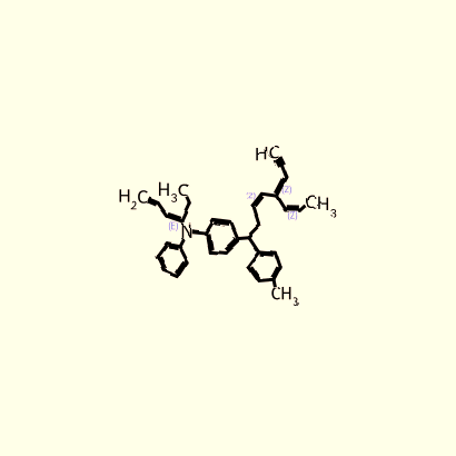 C#C/C=C(/C=C\C)\C=C/CC(c1ccc(C)cc1)c1ccc(N(/C(=C/C=C)CC)c2ccccc2)cc1